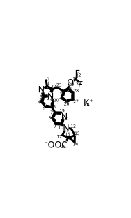 Cc1nc2ccc(-c3ccc(N4CC5CC5(C(=O)[O-])C4)nc3)cn2c1Cc1ccccc1OC(F)F.[K+]